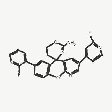 NC1=NC2(CCO1)c1cc(-c3cccnc3F)ccc1Oc1ncc(-c3ccnc(F)c3)cc12